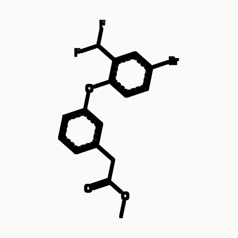 COC(=O)Cc1cccc(Oc2ccc(Br)cc2C(F)F)c1